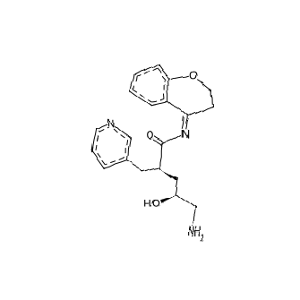 NC[C@@H](O)C[C@@H](Cc1cccnc1)C(=O)/N=C1/CCOc2ccccc21